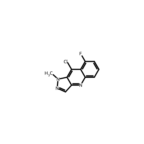 Cn1ncc2nc3cccc(F)c3c(Cl)c21